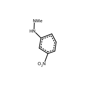 CNNc1cccc([N+](=O)[O-])c1